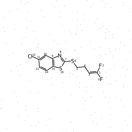 FC(F)=CCCSc1nc2cc(Cl)ccc2s1